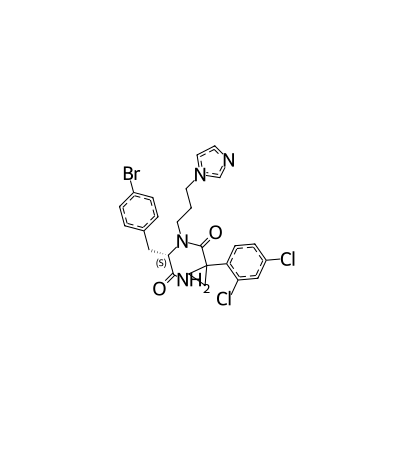 NC(=O)[C@H](Cc1ccc(Br)cc1)N(CCCn1ccnc1)C(=O)C1(c2ccc(Cl)cc2Cl)CC1